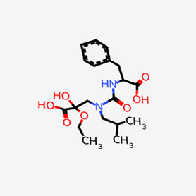 CCOC(O)(CN(CC(C)C)C(=O)NC(Cc1ccccc1)C(=O)O)C(=O)O